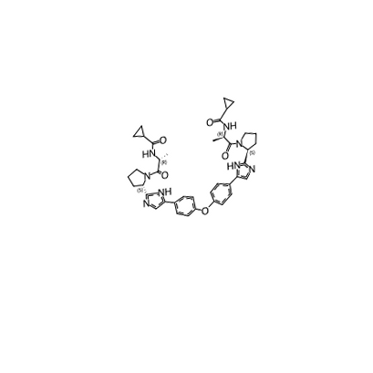 C[C@@H](NC(=O)C1CC1)C(=O)N1CCC[C@H]1c1ncc(-c2ccc(Oc3ccc(-c4cnc([C@@H]5CCCN5C(=O)[C@@H](C)NC(=O)C5CC5)[nH]4)cc3)cc2)[nH]1